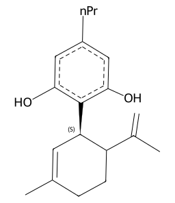 C=C(C)C1CCC(C)=C[C@H]1c1c(O)cc(CCC)cc1O